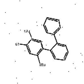 CCc1cc(C(C)(C)C)c(-c2ccccc2-c2ccccc2)cc1C(C)(C)C